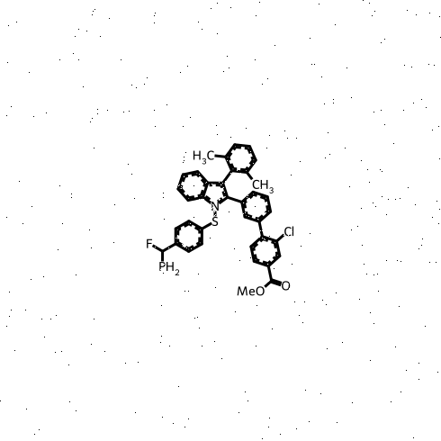 COC(=O)c1ccc(-c2cccc(-c3c(-c4c(C)cccc4C)c4ccccc4n3Sc3ccc(C(F)P)cc3)c2)c(Cl)c1